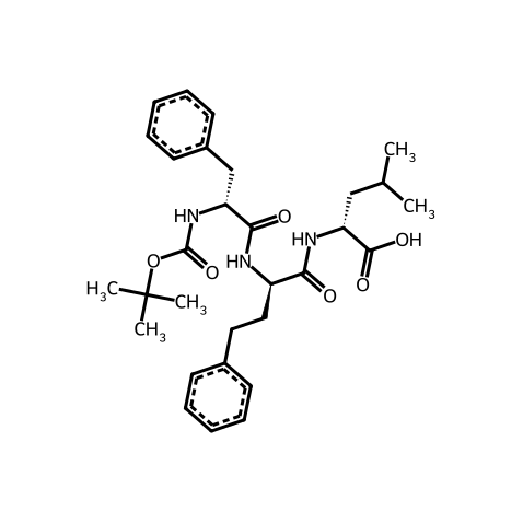 CC(C)C[C@@H](NC(=O)[C@@H](CCc1ccccc1)NC(=O)[C@@H](Cc1ccccc1)NC(=O)OC(C)(C)C)C(=O)O